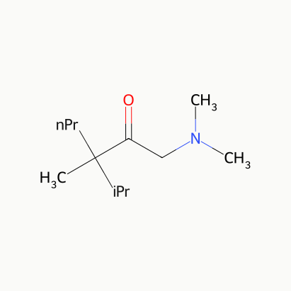 CCCC(C)(C(=O)CN(C)C)C(C)C